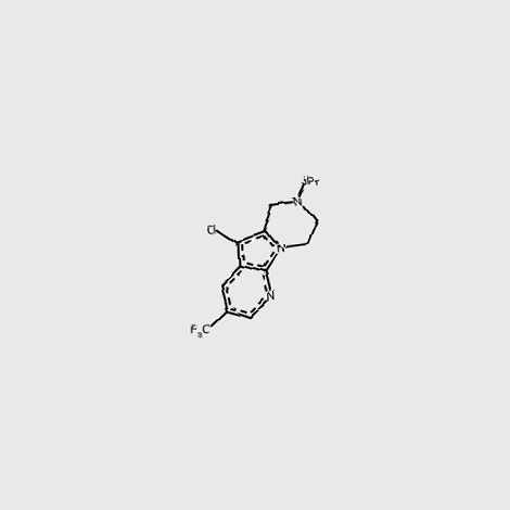 CC(C)N1CCn2c(c(Cl)c3cc(C(F)(F)F)cnc32)C1